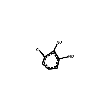 O=Nc1cccc(Cl)c1N=O